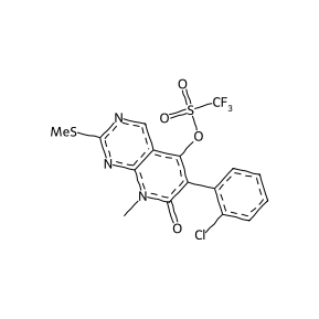 CSc1ncc2c(OS(=O)(=O)C(F)(F)F)c(-c3ccccc3Cl)c(=O)n(C)c2n1